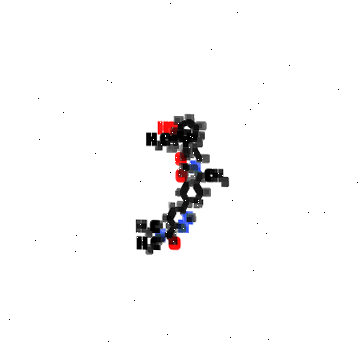 C[C@@H](c1ccc(-c2ccc(C(=O)N(C)C)nn2)cc1)N1CC[C@](CC(C)(C)O)(c2ccccc2)OC1=O